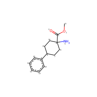 COC(=O)C1(N)CCC(c2ccccc2)CC1